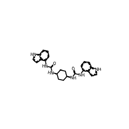 O=C(Nc1cccc2[nH]ccc12)NC1CCC(NC(=O)Nc2cccc3[nH]ccc23)CC1